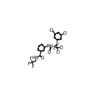 O=C(NCC(F)(F)F)c1cccc(NC(=O)[C@@H]2[C@@H](c3cc(Cl)cc(Cl)c3)C2(Cl)Cl)c1